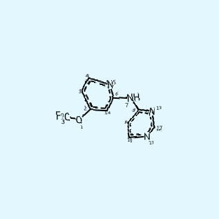 FC(F)(F)Oc1ccnc(Nc2ccncn2)c1